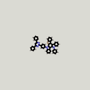 c1ccc(-c2cc(-c3ccccc3)nc(-c3ccc(-n4c5ccccc5c5c4c4sc6ccccc6c4c4c6ccccc6n(-c6ccccc6)c45)cc3)n2)cc1